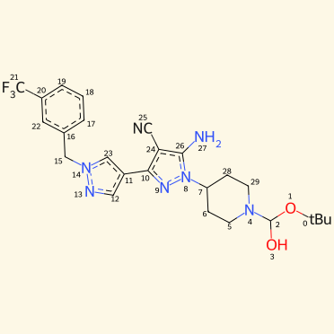 CC(C)(C)OC(O)N1CCC(n2nc(-c3cnn(Cc4cccc(C(F)(F)F)c4)c3)c(C#N)c2N)CC1